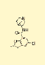 CC1Cc2cc(Cl)cc(C(=O)NC3CN4CCC3CC4)c2O1